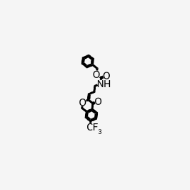 O=C(NCCC=C1OCc2cc(C(F)(F)F)ccc2C1=O)OCc1ccccc1